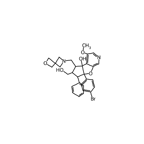 COc1cncc2c1C1(O)C(CN3CC4(COC4)C3)C(CO)C(c3ccccc3)C1(c1ccc(Br)cc1)O2